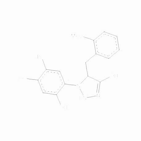 COc1ccccc1CC1C(O)=NNN1c1cc(C(C)C)c(O)cc1O